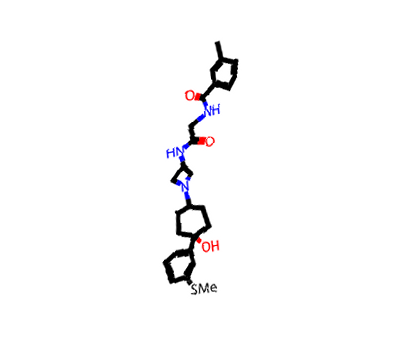 CSc1cccc(C2(O)CCC(N3CC(NC(=O)CNC(=O)c4cccc(C)c4)C3)CC2)c1